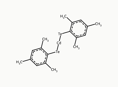 Cc1cc(C)c([Te][Cd][Te]c2c(C)cc(C)cc2C)c(C)c1